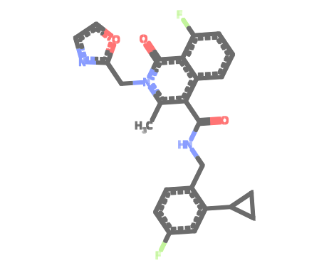 Cc1c(C(=O)NCc2ccc(F)cc2C2CC2)c2cccc(F)c2c(=O)n1Cc1ncco1